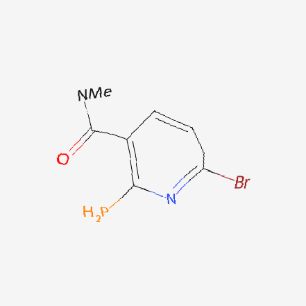 CNC(=O)c1ccc(Br)nc1P